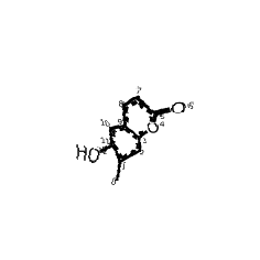 Cc1cc2oc(=O)ccc2cc1O